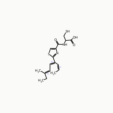 C\C=C/C(=C\C=C(/C)CC)c1nc(C(=O)NC(CS)C(=O)O)cs1